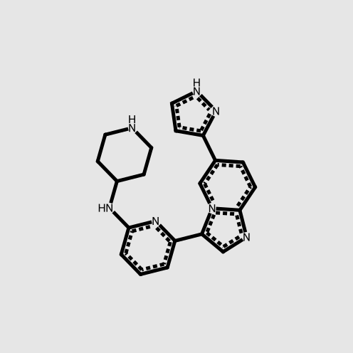 c1cc(NC2CCNCC2)nc(-c2cnc3ccc(-c4cc[nH]n4)cn23)c1